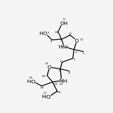 CC1(CCC2(C)NC(CO)(CO)CO2)NC(CO)(CO)CO1